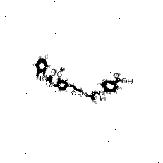 COc1cc(CC(=O)CNC(C)CNc2ccc(C(=O)O)cc2)ccc1NC(=O)Nc1ccccc1C